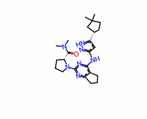 CN(C)C(=O)[C@H]1CCCN1c1nc2c(c(Nc3cc([C@H]4CCC(C)(C)C4)[nH]n3)n1)CCC2